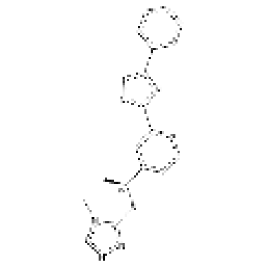 C[C@H](Sc1nncn1C)c1cccc(-n2ncc(-c3ccccc3)n2)c1